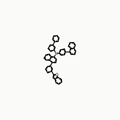 c1ccc(-c2cccc(N(c3ccc(-c4cccc5ccccc45)cc3)c3ccc(-c4cccc(-c5cc6ccccc6o5)c4)c4ccccc34)c2)cc1